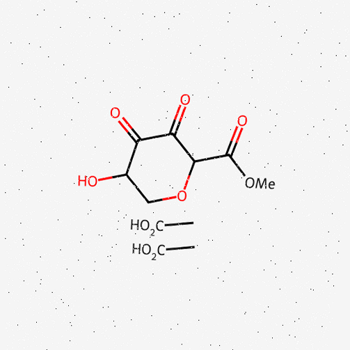 CC(=O)O.CC(=O)O.COC(=O)C1OCC(O)C(=O)C1=O